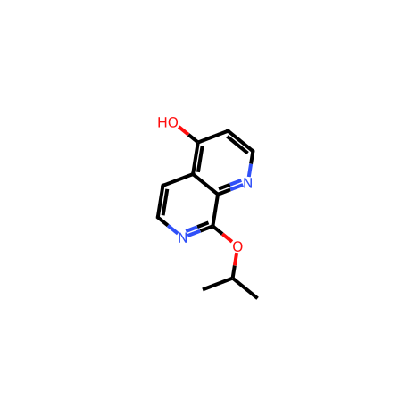 CC(C)Oc1nccc2c(O)ccnc12